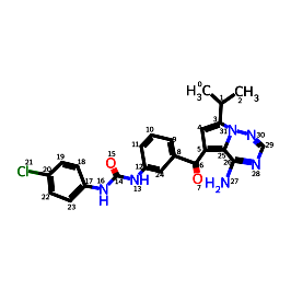 CC(C)c1cc(C(=O)c2cccc(NC(=O)Nc3ccc(Cl)cc3)c2)c2c(N)ncnn12